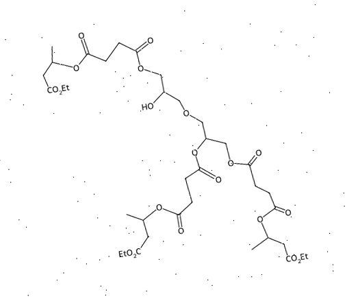 CCOC(=O)CC(C)OC(=O)CCC(=O)OCC(O)COCC(COC(=O)CCC(=O)OC(C)CC(=O)OCC)OC(=O)CCC(=O)OC(C)CC(=O)OCC